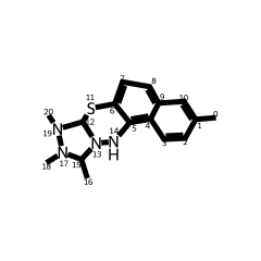 Cc1ccc2c3c(ccc2c1)SC1N(N3)C(C)N(C)N1C